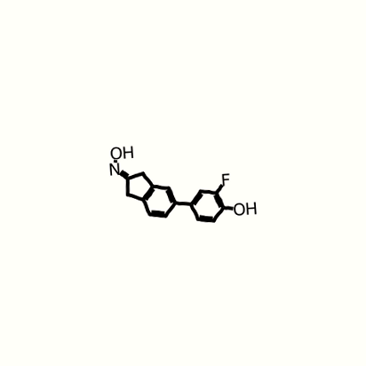 O/N=C1/Cc2ccc(-c3ccc(O)c(F)c3)cc2C1